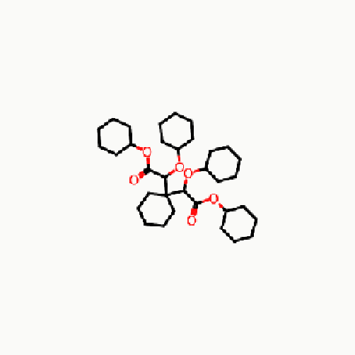 O=C(OC1CCCCC1)C(OC1CCCCC1)C1(C(OC2CCCCC2)C(=O)OC2CCCCC2)CCCCC1